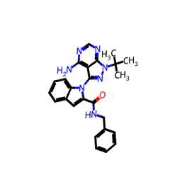 CC(C)(C)n1nc(-n2c(C(=O)NCc3ccccc3)cc3ccccc32)c2c(N)ncnc21